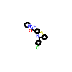 O=C(NN1CCCCC1)c1ccc2c(c1)N=C(c1ccc(Cl)cc1)c1ccccc1S2